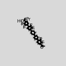 CCCC(O)c1ccc(-c2ccc(C3CCC(C4CC=C(c5ccc(C6CO6)c(F)c5F)CC4)CC3)c(F)c2F)c(F)c1F